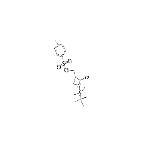 Cc1ccc(S(=O)(=O)OCC2CN([Si](C)(C)C(C)(C)C)C2=O)cc1